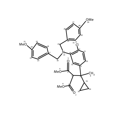 COC(=O)C(C(=O)OC)C(C)(c1ccc(Cl)c(N(Cc2ccc(OC)cc2)Cc2ccc(OC)cc2)c1)C1CC1